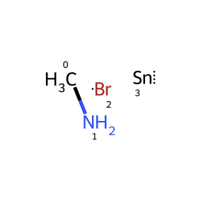 CN.[Br].[Sn]